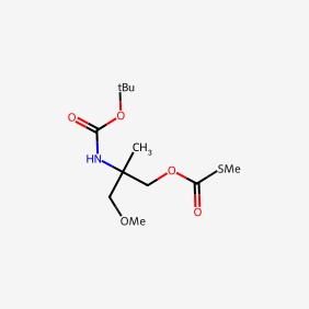 COCC(C)(COC(=O)SC)NC(=O)OC(C)(C)C